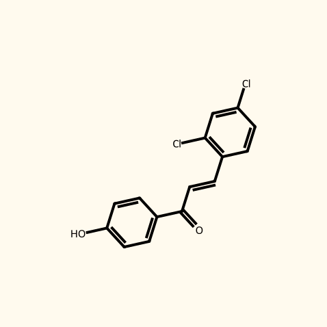 O=C(C=Cc1ccc(Cl)cc1Cl)c1ccc(O)cc1